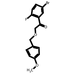 COc1ccc(COCC(=O)c2cc(Br)ccc2F)cc1